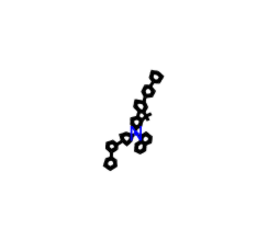 CC1(C)c2cc(-c3ccc(-c4ccccc4)cc3)ccc2-c2ccc(N(c3ccc(-c4cccc(-c5ccccc5)c4)cc3)c3cccc4ccccc34)cc21